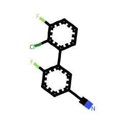 N#Cc1ccc(F)c(-c2cccc(F)c2Cl)c1